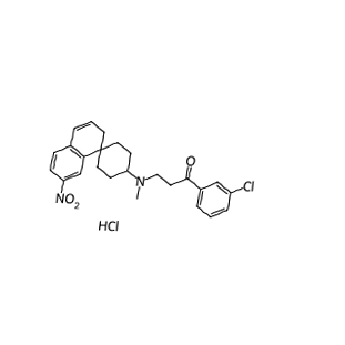 CN(CCC(=O)c1cccc(Cl)c1)C1CCC2(CC=Cc3ccc([N+](=O)[O-])cc32)CC1.Cl